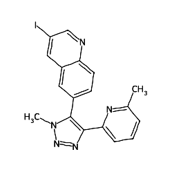 Cc1cccc(-c2nnn(C)c2-c2ccc3ncc(I)cc3c2)n1